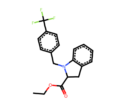 CCOC(=O)C1Cc2ccccc2N1Cc1ccc(C(F)(F)F)cc1